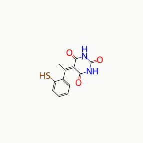 CC(=C1C(=O)NC(=O)NC1=O)c1ccccc1S